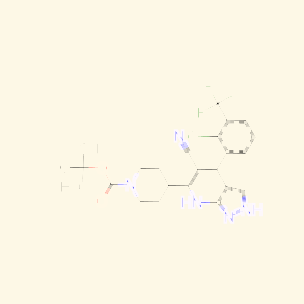 CC(C)(C)OC(=O)N1CCC(C2=C(C#N)C(c3cccc(C(F)(F)F)c3Cl)c3c[nH]nc3N2)CC1